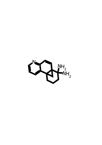 NC1(N)CCCC23CC12C=Cc1ncccc13